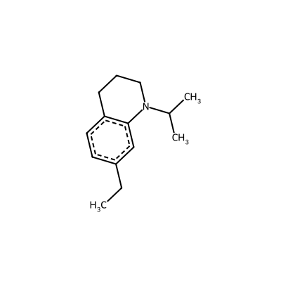 CCc1ccc2c(c1)N(C(C)C)CCC2